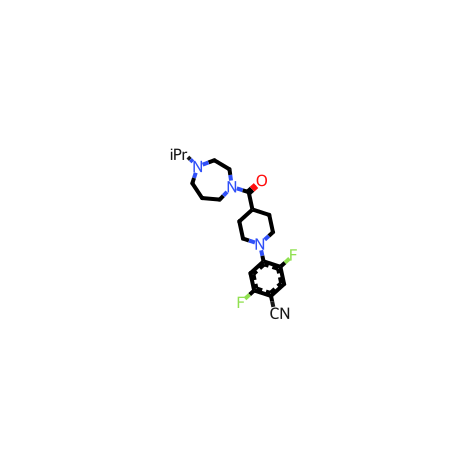 CC(C)N1CCCN(C(=O)C2CCN(c3cc(F)c(C#N)cc3F)CC2)CC1